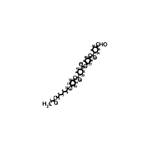 C=CC(=O)OCCCCCCOc1ccc(OC(=O)[C@H]2CC[C@H](C(=O)Oc3ccc(OC(=O)[C@H]4CC[C@H](C=O)CC4)cc3)CC2)cc1